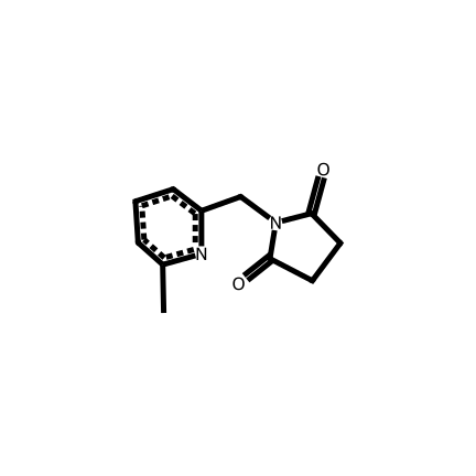 Cc1cccc(CN2C(=O)CCC2=O)n1